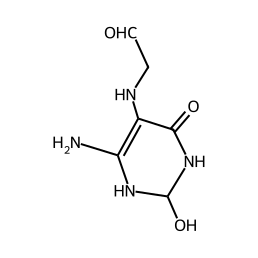 NC1=C(NCC=O)C(=O)NC(O)N1